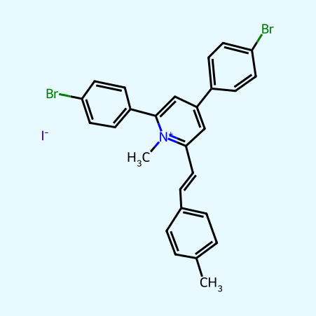 Cc1ccc(C=Cc2cc(-c3ccc(Br)cc3)cc(-c3ccc(Br)cc3)[n+]2C)cc1.[I-]